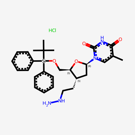 Cc1cn([C@H]2C[C@H](CCNN)[C@@H](CO[Si](c3ccccc3)(c3ccccc3)C(C)(C)C)O2)c(=O)[nH]c1=O.Cl